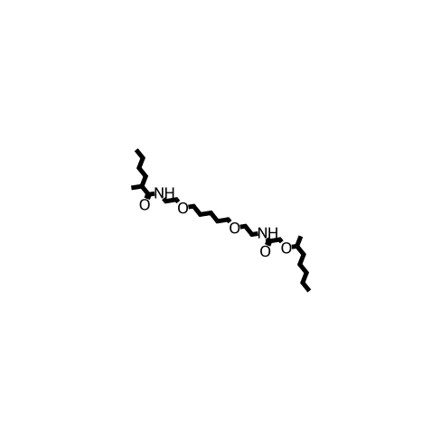 CCCCCC(C)OCC(=O)NCCOCCCCCOCCNC(=O)C(C)CCCC